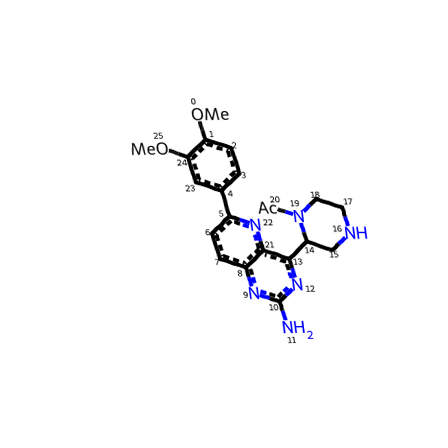 COc1ccc(-c2ccc3nc(N)nc(C4CNCCN4C(C)=O)c3n2)cc1OC